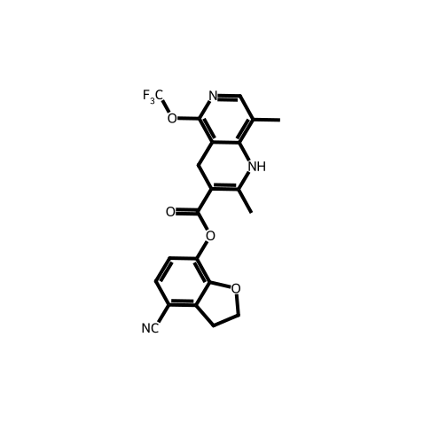 CC1=C(C(=O)Oc2ccc(C#N)c3c2OCC3)Cc2c(OC(F)(F)F)ncc(C)c2N1